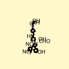 N#Cc1ccc(-c2c(-c3cccc(O)c3)cnc(N3CCC(NCc4ccc(/C=C/C(=O)NO)cc4)CC3)c2C#N)cc1F.O=CO